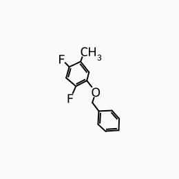 Cc1cc(OCc2ccccc2)c(F)cc1F